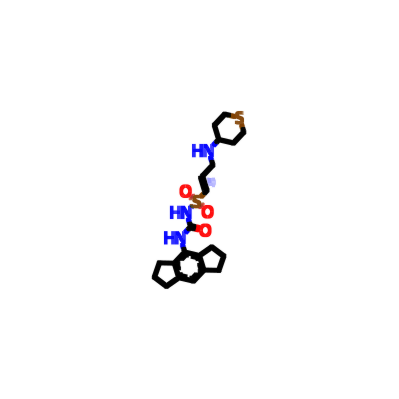 O=C(Nc1c2c(cc3c1CCC3)CCC2)NS(=O)(=O)/C=C/CNC1CCSCC1